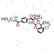 Cc1noc(-c2ccc(C(=O)NCC(=O)O)cc2)c1NC(=O)OC(C)c1ccccc1Cl